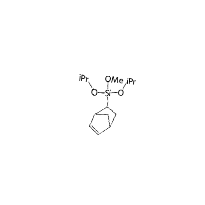 CO[Si](OC(C)C)(OC(C)C)C1CC2C=CC1C2